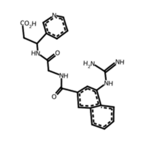 N=C(N)Nc1cc(C(=O)NCC(=O)NC(CC(=O)O)c2cccnc2)cc2ccccc12